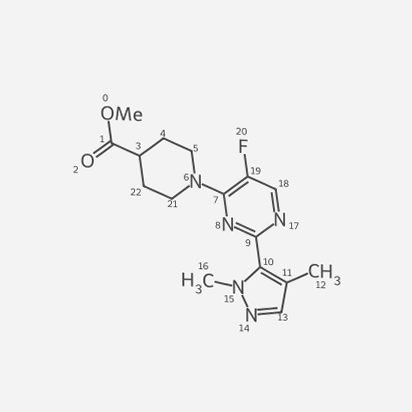 COC(=O)C1CCN(c2nc(-c3c(C)cnn3C)ncc2F)CC1